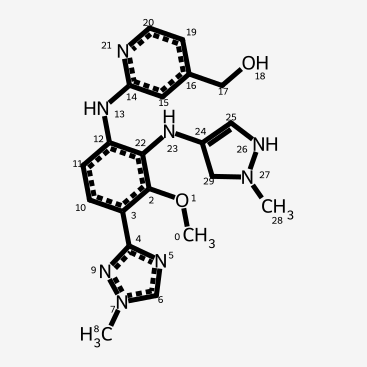 COc1c(-c2ncn(C)n2)ccc(Nc2cc(CO)ccn2)c1NC1=CNN(C)C1